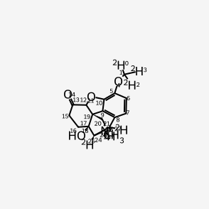 [2H]C([2H])([2H])Oc1ccc2c3c1OC1C(=O)CC[C@]4(O)[C@@]31CCN(C)[C@]4([2H])C2([2H])[2H]